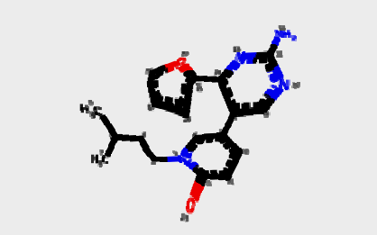 CC(C)CCn1cc(-c2cnc(N)nc2-c2ccco2)ccc1=O